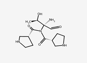 C[C@@H](O)[C@@](N)(C=O)N(C(=O)[C@@H]1CCNC1)C(=O)[C@@H]1CCNC1